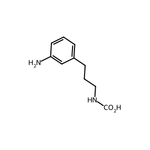 Nc1cccc(CCCNC(=O)O)c1